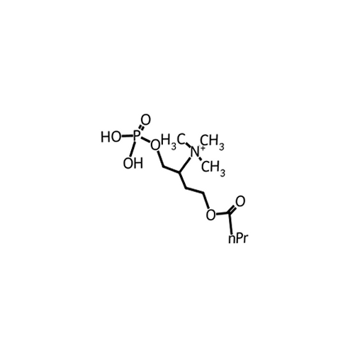 CCCC(=O)OCCC(COP(=O)(O)O)[N+](C)(C)C